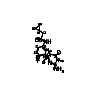 C=C1C(=O)N(C)C(N)=N[C@]1(C)c1cc(NC(=O)CC2CC2)ccc1F